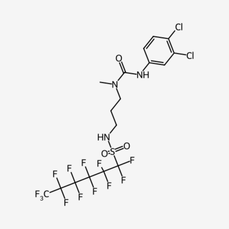 CN(CCCNS(=O)(=O)C(F)(F)C(F)(F)C(F)(F)C(F)(F)C(F)(F)C(F)(F)F)C(=O)Nc1ccc(Cl)c(Cl)c1